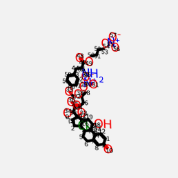 C[C@H]1CC2C3CCC4=CC(=O)C=C[C@]4(C)[C@@]3(Cl)[C@@H](O)C[C@]2(C)[C@@]1(OC(=O)CCCO[N+](=O)[O-])C(=O)COC(=O)Oc1ccc(C[C@H](N)C(=O)OCCCCO[N+](=O)[O-])cc1